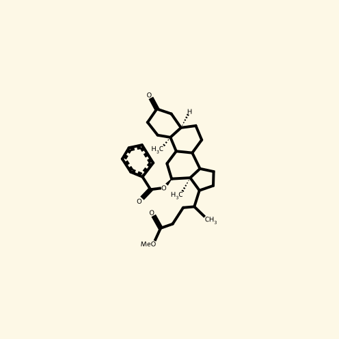 COC(=O)CCC(C)C1CCC2C3CC[C@@H]4CC(=O)CC[C@]4(C)C3C[C@H](OC(=O)c3ccccc3)[C@]12C